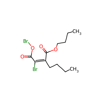 CCCCOC(=O)/C(CCCC)=C(/Br)C(=O)OBr